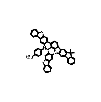 CC(C)(C)c1ccc(N2B3c4cc5sc6ccccc6c5cc4-n4c5cc6c(cc5c5ccc(c3c54)-c3cc4sc5ccccc5c4cc32)C(C)(C)c2ccccc2-6)cc1